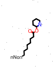 CCCCCCCCCCCCCCCCC(=O)OC1CCCC[N]1